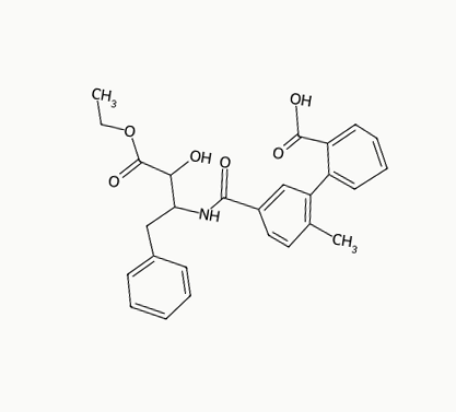 CCOC(=O)C(O)C(Cc1ccccc1)NC(=O)c1ccc(C)c(-c2ccccc2C(=O)O)c1